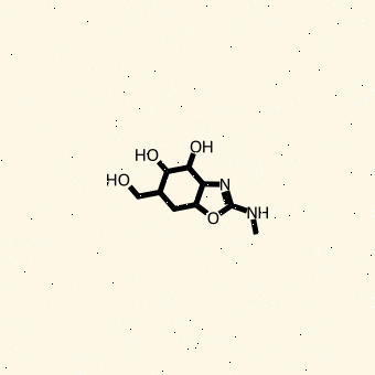 CNC1=NC2C(CC(CO)C(O)C2O)O1